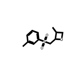 Cc1cccc(S(=O)(=O)CC2OCC2C)c1